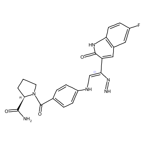 N=N/C(=C\Nc1ccc(C(=O)N2CCC[C@@H]2C(N)=O)cc1)c1cc2cc(F)ccc2[nH]c1=O